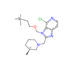 C[C@H]1CCCN(Cc2nc3ccnc(Cl)c3n2COCC[Si](C)(C)C)C1